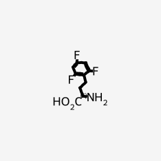 N[C@@H](CCc1c(F)cc(F)cc1F)C(=O)O